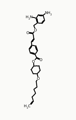 C=CCCCCCOC1CCC(OC(=O)c2ccc(/C=C/C(=O)OCc3ccc(N)cc3N)cc2)CC1